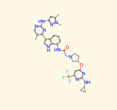 Cc1cnc(Nc2cc(C)n(C)n2)nc1-c1c[nH]c2c(NC(=O)CN3CCC(Oc4cc(C(F)(F)F)nc(NC5CC5)n4)C3)cccc12